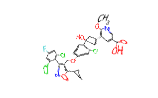 COc1ncc(C(=O)O)cc1[C@H]1C[C@@](O)(c2ccc(OCc3c(-c4c(Cl)cc(F)cc4Cl)noc3C3CC3)cc2Cl)C1